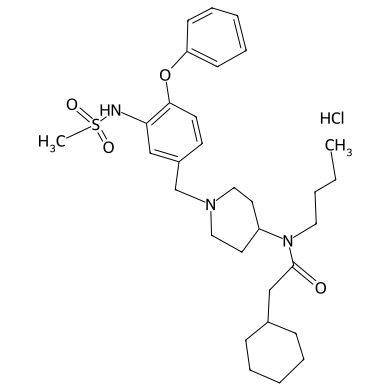 CCCCN(C(=O)CC1CCCCC1)C1CCN(Cc2ccc(Oc3ccccc3)c(NS(C)(=O)=O)c2)CC1.Cl